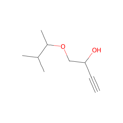 C#CC(O)COC(C)C(C)C